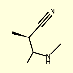 CNC(C)[C@@H](C)C#N